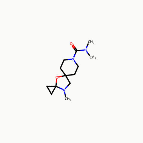 CN(C)C(=O)N1CCC2(CC1)CN(C)C1(CC1)O2